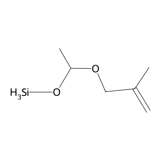 C=C(C)COC(C)O[SiH3]